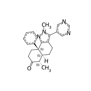 C[C@@H]1C(=O)CC[C@]2(c3ccccc3)c3nn(C)c(-c4cncnc4)c3CC[C@@H]12